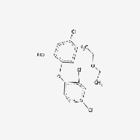 CCOCC.Oc1cc(Cl)ccc1Oc1ccc(Cl)cc1Cl